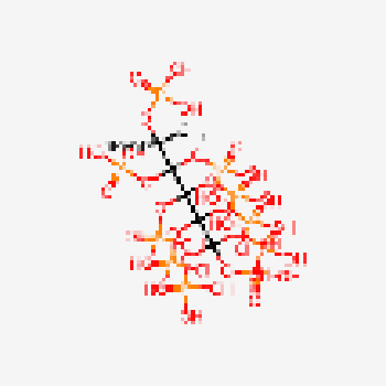 CCCCCC(C)(OP(=O)(O)O)C(OP(=O)(O)O)(OP(=O)(O)O)C(OP(=O)(O)O)(OP(=O)(O)O)C(OP(=O)(O)O)(OP(=O)(O)O)C(OP(=O)(O)O)(OP(=O)(O)O)OP(=O)(O)O